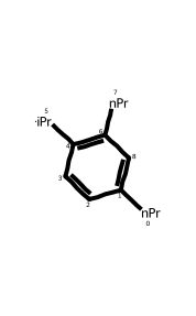 CCCc1ccc([C](C)C)c(CCC)c1